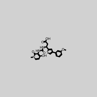 COc1cccc(-c2csc(C(CC(=O)O)NC(=O)Nc3c(O)ccn(C)c3=O)c2)c1